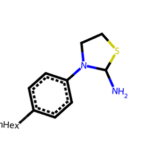 CCCCCCc1ccc(N2CCSC2N)cc1